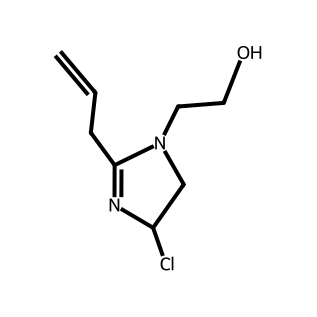 C=CCC1=NC(Cl)CN1CCO